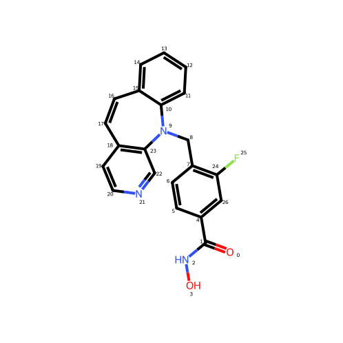 O=C(NO)c1ccc(CN2c3ccccc3C=Cc3ccncc32)c(F)c1